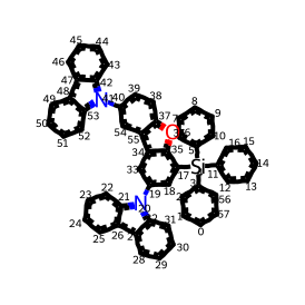 c1ccc([Si](c2ccccc2)(c2ccccc2)c2cc(-n3c4ccccc4c4ccccc43)cc3c2oc2ccc(-n4c5ccccc5c5ccccc54)cc23)cc1